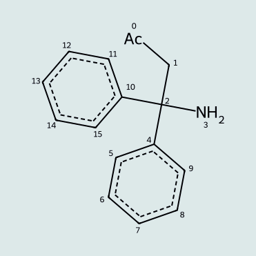 CC(=O)CC(N)(c1ccccc1)c1ccccc1